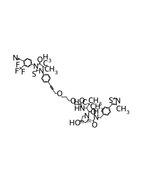 Cc1ncsc1-c1ccc(CNC(=O)[C@@H]2C[C@@H](O)CN2C(=O)C(NC(=O)COCCCOCC#Cc2ccc(N3C(=S)N(c4ccc(C#N)c(C(F)(F)F)c4)C(=O)C3(C)C)cc2)C(C)(C)C)cc1